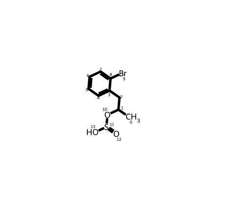 CC(Cc1ccccc1Br)OS(=O)O